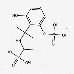 CC(NC(C)(C)c1c(O)cncc1OP(=O)(O)O)P(=O)(O)O